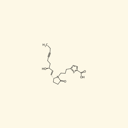 CCC#CCC[C@H](O)/C=C/[C@H]1CCC(=O)N1CCCc1ccc(C(=O)O)s1